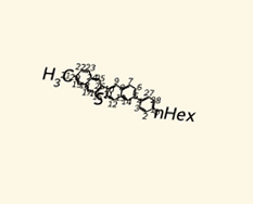 CCCCCCc1ccc(-c2ccc3cc4c(cc3c2)sc2cc3cc(C)ccc3cc24)cc1